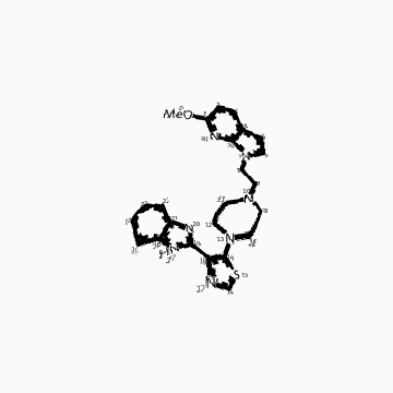 COc1ccc2ccn(CCN3CCN(c4scnc4-c4nc5ccccc5[nH]4)CC3)c2n1